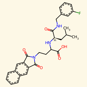 CC(C)C[C@@H](NC(CCN1C(=O)c2cc3ccccc3cc2C1=O)C(=O)O)C(=O)NCc1cccc(F)c1